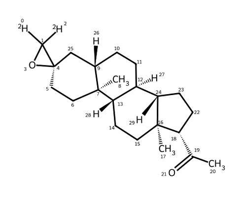 [2H]C1([2H])O[C@@]12CC[C@@]1(C)[C@@H](CC[C@@H]3[C@@H]1CC[C@]1(C)[C@@H](C(C)=O)CC[C@@H]31)C2